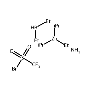 CCBCC.C[CH2][Zn]([CH](C)C)[CH](C)C.N.O=S(=O)(Br)C(F)(F)F